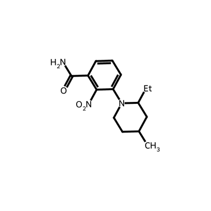 CCC1CC(C)CCN1c1cccc(C(N)=O)c1[N+](=O)[O-]